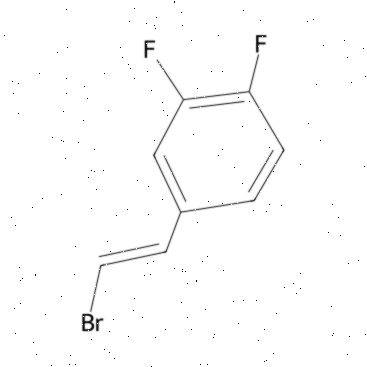 Fc1ccc(C=CBr)cc1F